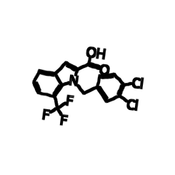 O=C(O)c1cc2cccc(C(F)(F)F)c2n1Cc1ccc(Cl)c(Cl)c1